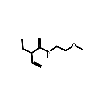 C=CC(CC)C(=C)NCCOC